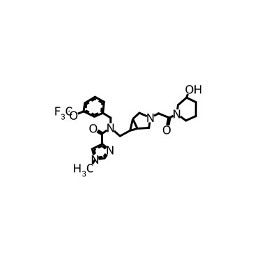 Cn1cnc(C(=O)N(Cc2cccc(OC(F)(F)F)c2)CC2C3CN(CC(=O)N4CCCC(O)C4)CC32)c1